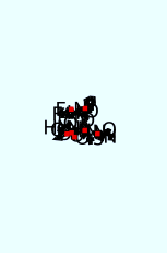 C=C[C@@H]1C[C@]1(NC(=O)[C@@H]1C[C@@H](Oc2nc(-c3ccc(C(F)(F)F)cc3)nc3c2oc2ccccc23)CN1C(=O)[C@@H](Nc1nc(C(=O)N(C)C)cs1)C(C)(C)C)C(=O)NS(=O)(=O)C1CC1